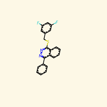 Fc1cc(F)cc(CSc2nnc(-c3ccccc3)c3ccccc23)c1